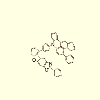 C1=CC(c2ccc(N(c3ccc(-c4ccccc4)cc3)c3ccccc3-c3ccc4ccccc4c3)cc2)=C2c3cc4nc(-c5ccccc5)oc4cc3OC2C1